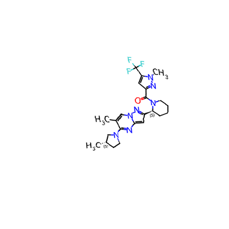 Cc1cn2nc([C@@H]3CCCCN3C(=O)c3cc(C(F)(F)F)n(C)n3)cc2nc1N1CC[C@H](C)C1